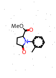 COC(=O)C1CCC(=O)N1c1ccccc1C